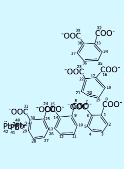 O=C([O-])c1ccccc1C(=O)[O-].O=C([O-])c1ccccc1C(=O)[O-].O=C([O-])c1ccccc1C(=O)[O-].O=C([O-])c1ccccc1C(=O)[O-].O=C([O-])c1ccccc1C(=O)[O-].[Pb+2].[Pb+2].[Pb+2]